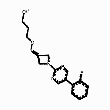 OCCCON=C1CN(c2ncc(-c3ccccc3F)cn2)C1